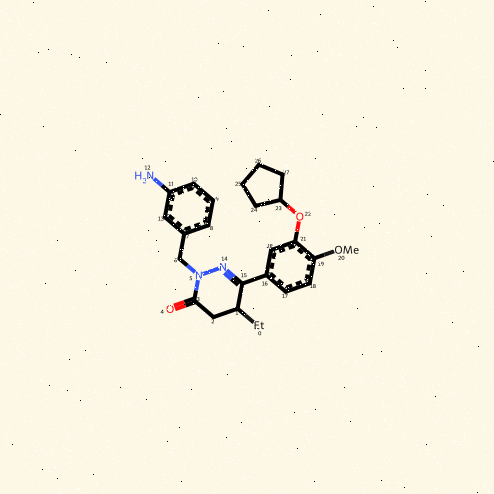 CCC1CC(=O)N(Cc2cccc(N)c2)N=C1c1ccc(OC)c(OC2CCCC2)c1